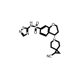 N#CC1CC12CCN([C@H]1CCOc3cc(S(=O)(=O)Nc4ncns4)ccc31)CC2